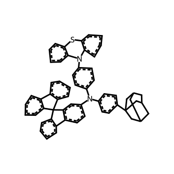 c1ccc2c(c1)Sc1ccccc1N2c1ccc(N(c2ccc(C34CC5CC(CC(C5)C3)C4)cc2)c2ccc3c(c2)C2(c4ccccc4-c4ccccc42)c2ccccc2-3)cc1